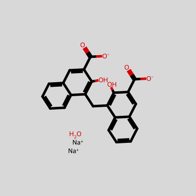 O.O=C([O-])c1cc2ccccc2c(Cc2c(O)c(C(=O)[O-])cc3ccccc23)c1O.[Na+].[Na+]